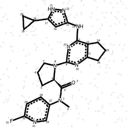 CN(C(=O)[C@H]1CCCN1c1nc2c(c(Nc3cc(C4CC4)[nH]n3)n1)CCC2)c1ccc(F)nc1